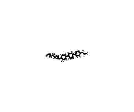 C=CCc1ccc(-c2ccc(-c3ccc(COCCC=CC)cc3)cc2)cc1